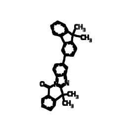 CC1(C)c2ccccc2-c2cc(-c3ccc4c(c3)nc3n4C(=O)c4ccccc4C3(C)C)ccc21